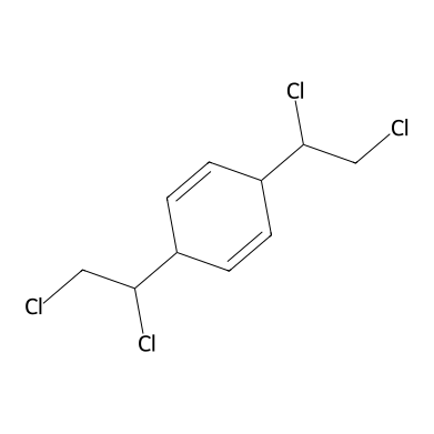 ClCC(Cl)C1C=CC(C(Cl)CCl)C=C1